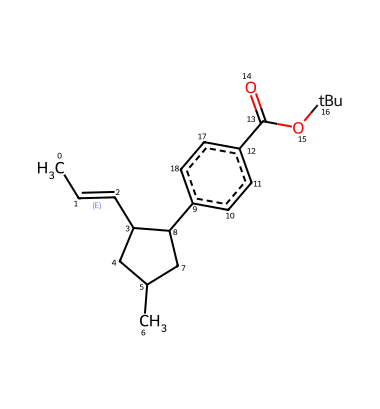 C/C=C/C1CC(C)CC1c1ccc(C(=O)OC(C)(C)C)cc1